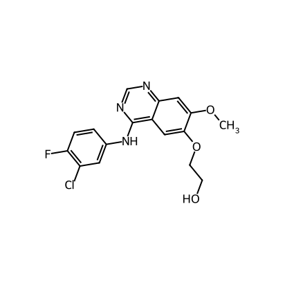 COc1cc2ncnc(Nc3ccc(F)c(Cl)c3)c2cc1OCCO